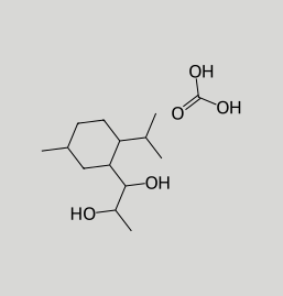 CC1CCC(C(C)C)C(C(O)C(C)O)C1.O=C(O)O